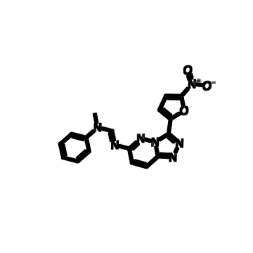 CN(C=Nc1ccc2nnc(-c3ccc([N+](=O)[O-])o3)n2n1)c1ccccc1